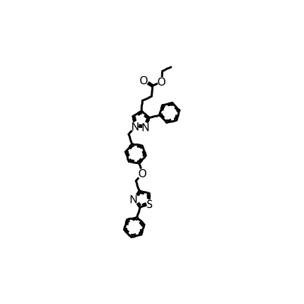 CCOC(=O)CCc1cn(Cc2ccc(OCc3csc(-c4ccccc4)n3)cc2)nc1-c1ccccc1